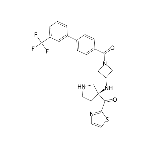 O=C(c1ccc(-c2cccc(C(F)(F)F)c2)cc1)N1CC(N[C@@]2(C(=O)c3nccs3)CCNC2)C1